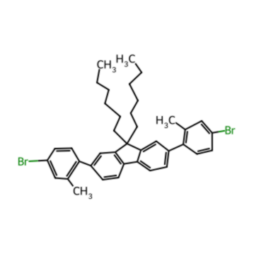 CCCCCCC1(CCCCCC)c2cc(-c3ccc(Br)cc3C)ccc2-c2ccc(-c3ccc(Br)cc3C)cc21